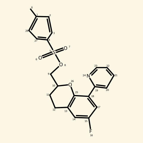 Cc1ccc(S(=O)(=O)OCC2CCc3cc(F)cc(-c4ccccn4)c3O2)cc1